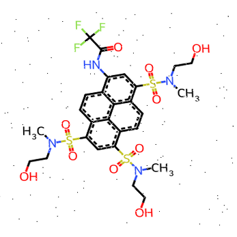 CN(CCO)S(=O)(=O)c1cc(NC(=O)C(F)(F)F)c2ccc3c(S(=O)(=O)N(C)CCO)cc(S(=O)(=O)N(C)CCO)c4ccc1c2c34